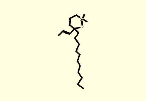 CC=CC1(CCCCCCCCCCC)CCC[Si](C)(C)O1